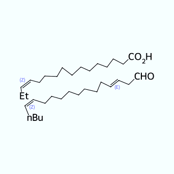 CC/C=C\CCCCCCCCCCCC(=O)O.CCCC/C=C\CCCCCCCC/C=C/CC=O